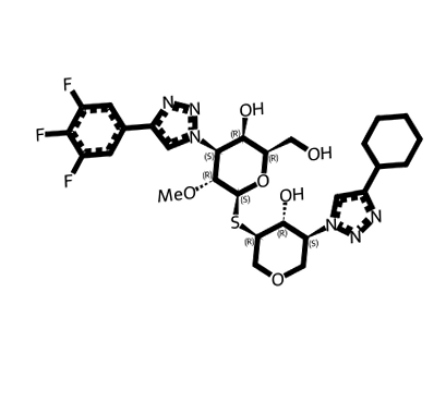 CO[C@@H]1[C@@H](n2cc(-c3cc(F)c(F)c(F)c3)nn2)[C@@H](O)[C@@H](CO)O[C@H]1S[C@@H]1COC[C@H](n2cc(C3CCCCC3)nn2)[C@H]1O